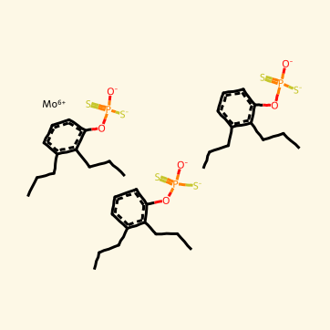 CCCc1cccc(OP([O-])(=S)[S-])c1CCC.CCCc1cccc(OP([O-])(=S)[S-])c1CCC.CCCc1cccc(OP([O-])(=S)[S-])c1CCC.[Mo+6]